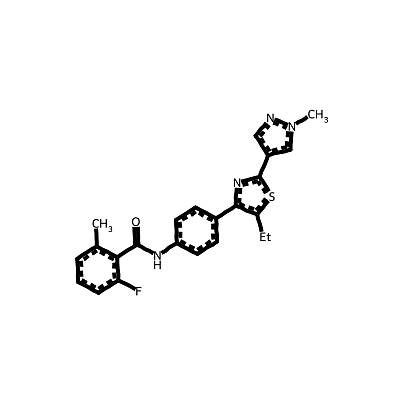 CCc1sc(-c2cnn(C)c2)nc1-c1ccc(NC(=O)c2c(C)cccc2F)cc1